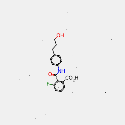 O=C(O)c1cccc(F)c1C(=O)Nc1ccc(CCCO)cc1